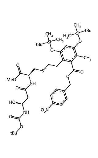 COC(=O)[C@@H](CSCCc1c(O[Si](C)(C)C(C)(C)C)cc(O[Si](C)(C)C(C)(C)C)c(C)c1C(=O)OCc1ccc([N+](=O)[O-])cc1)NC(=O)C[C@H](O)NC(=O)OC(C)(C)C